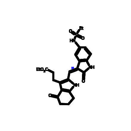 CCOC(=O)CCc1c(/C=C2\C(=O)Nc3ccc(NS(=O)(=O)CC)cc32)[nH]c2c1C(=O)CCC2